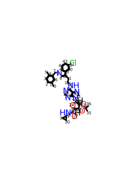 Cc1ccc(C)c(Cn2cc(CCNc3ncnc4c3ncn4[C@@H]3O[C@H](C(=O)NC4CC4)[C@H]4OC(C)(C)O[C@H]43)c3cc(Cl)ccc32)c1